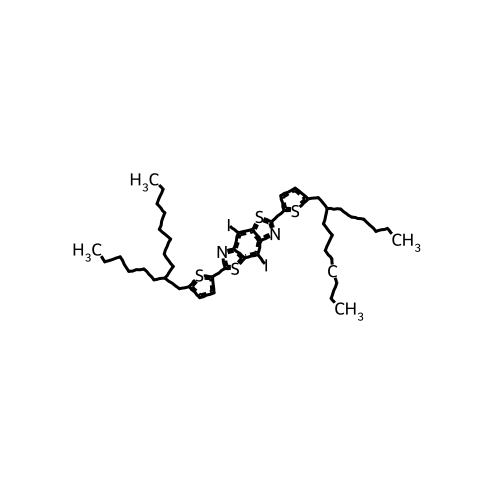 CCCCCCCCC(CCCCCC)Cc1ccc(-c2nc3c(I)c4sc(-c5ccc(CC(CCCCCC)CCCCCCCC)s5)nc4c(I)c3s2)s1